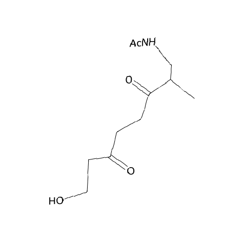 CC(=O)NCC(C)C(=O)CCC(=O)CCO